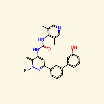 C=C1C(NC(=O)Nc2c(C)cncc2C)=CC(c2cccc(-c3cccc(O)c3)c2)=NN1CC